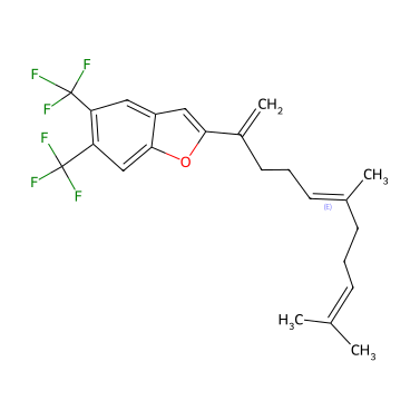 C=C(CC/C=C(\C)CCC=C(C)C)c1cc2cc(C(F)(F)F)c(C(F)(F)F)cc2o1